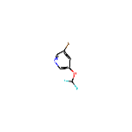 FC(F)Oc1cncc(Br)c1